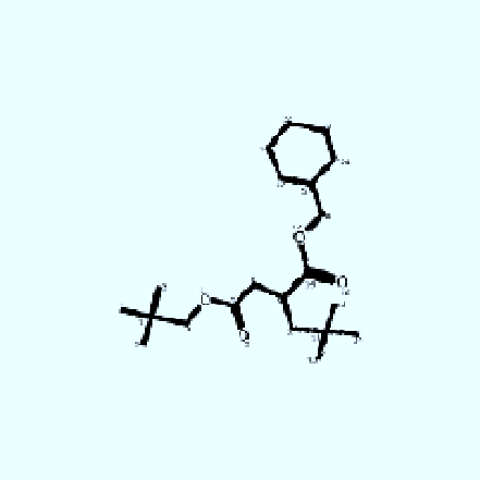 CC(C)(C)COC(=O)CC(CC(C)(C)C)C(=O)OCC1CCCCC1